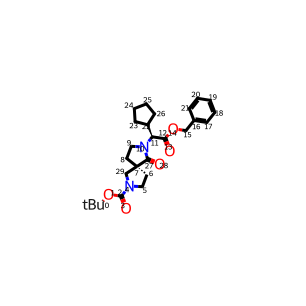 CC(C)(C)OC(=O)N1CC[C@@]2(CCN([C@H](C(=O)OCc3ccccc3)C3CCCC3)C2=O)C1